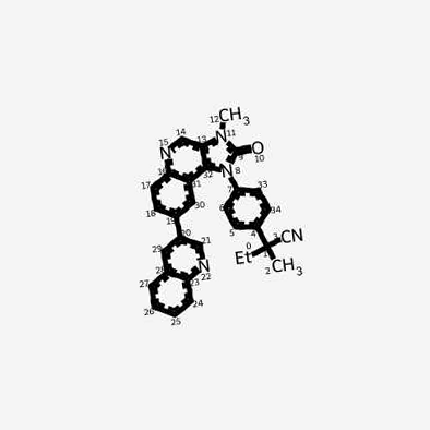 CCC(C)(C#N)c1ccc(-n2c(=O)n(C)c3cnc4ccc(-c5cnc6ccccc6c5)cc4c32)cc1